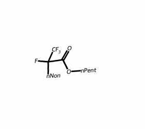 CCCCCCCCCC(F)(C(=O)OCCCCC)C(F)(F)F